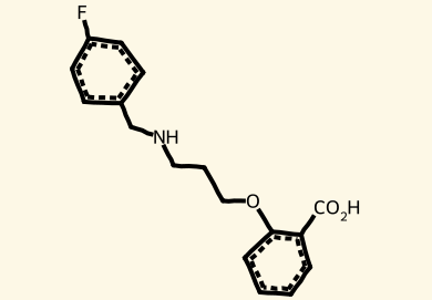 O=C(O)c1ccccc1OCCCNCc1ccc(F)cc1